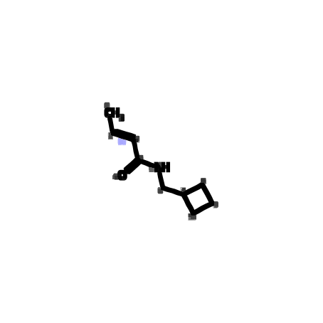 C/C=C/C(=O)NCC1CCC1